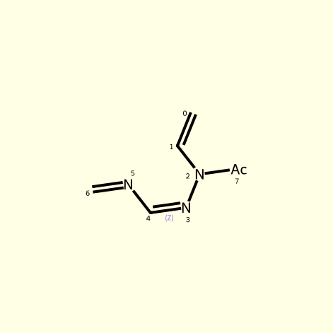 C=CN(/N=C\N=C)C(C)=O